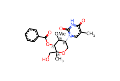 CO[C@H]1[C@H](n2cc(C)c(=O)[nH]c2=O)CO[C@](C)(CO)[C@H]1OC(=O)c1ccccc1